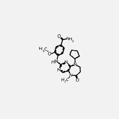 COc1cc(C(N)=O)ccc1Nc1ncc2c(n1)N(C1CCCC1)CCC(=O)N2C